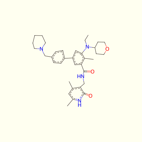 CCN(c1cc(-c2ccc(CN3CCCCC3)cc2)cc(C(=O)NCc2c(C)cc(C)[nH]c2=O)c1C)C1CCOCC1